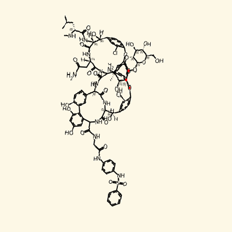 CN[C@H](CC(C)C)C(=O)N[C@H]1C(=O)N[C@@H](CC(N)=O)C(=O)NC2C(=O)N[C@H]3C(=O)N[C@H](C(=O)NC(C(=O)NCC(=O)Nc4ccc(NS(=O)(=O)c5ccccc5)cc4)c4cc(O)cc(O)c4-c4cc3ccc4O)[C@H](O)c3ccc(c(Cl)c3)Oc3cc2cc(c3O[C@@H]2O[C@H](CO)[C@@H](O)[C@H](O)[C@H]2OC2C[C@](C)(N)[C@H](O)[C@H](C)O2)Oc2ccc(cc2Cl)[C@H]1O